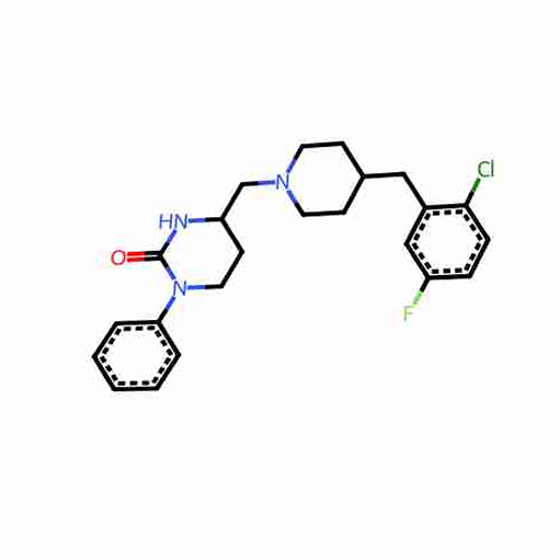 O=C1NC(CN2CCC(Cc3cc(F)ccc3Cl)CC2)CCN1c1ccccc1